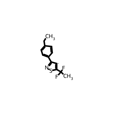 CCc1ccc(-c2[c]c(C(C)(F)F)sn2)cc1